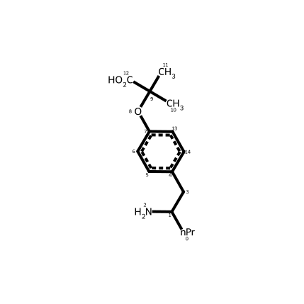 CCCC(N)Cc1ccc(OC(C)(C)C(=O)O)cc1